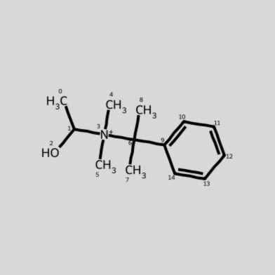 CC(O)[N+](C)(C)C(C)(C)c1ccccc1